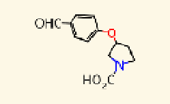 O=Cc1ccc(OC2CCN(C(=O)O)C2)cc1